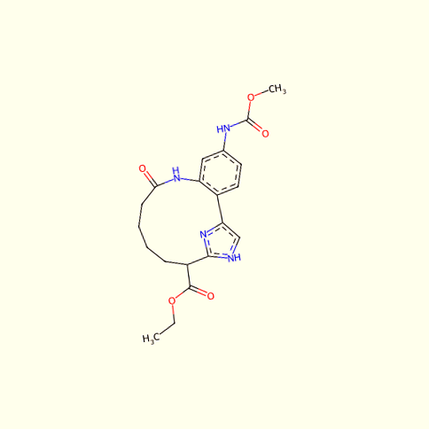 CCOC(=O)C1CCCCC(=O)Nc2cc(NC(=O)OC)ccc2-c2c[nH]c1n2